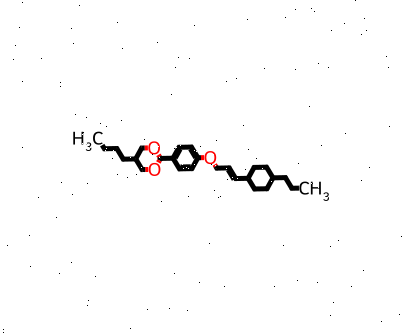 CCCCC1COC(c2ccc(OC/C=C/C3CCC(CCC)CC3)cc2)OC1